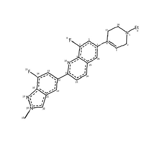 CCN1CC=C(c2cc(F)c3nc(-c4cc(F)c5nn(C)cc5c4)ccc3c2)CC1